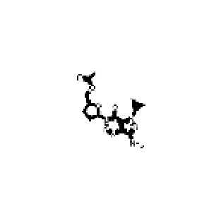 CC(=O)OCC1[CH][CH]C(n2nnc3c(N)nn(C4CC4)c3c2=O)O1